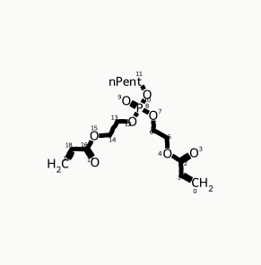 C=CC(=O)OCCOP(=O)(OCCCCC)OCCOC(=O)C=C